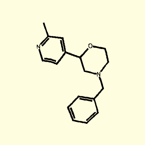 Cc1cc(C2CN(Cc3ccccc3)CCO2)ccn1